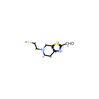 O=Cc1nc2c(s1)CN(CCF)CC2